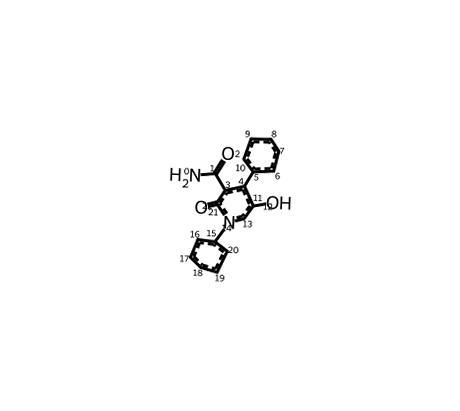 NC(=O)c1c(-c2ccccc2)c(O)cn(-c2ccccc2)c1=O